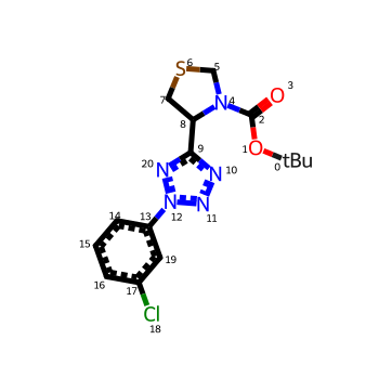 CC(C)(C)OC(=O)N1CSCC1c1nnn(-c2cccc(Cl)c2)n1